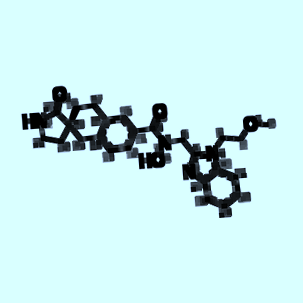 COCCn1c(CN(O)C(=O)c2ccc3c(c2)CC[C@]2(CCNC2=O)C3)nc2ccccc21